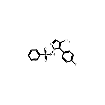 O=S(=O)(Nn1ncc(C(F)(F)F)c1-c1ccc(F)cc1)c1ccccc1